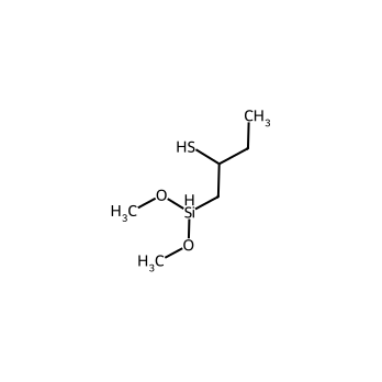 CCC(S)C[SiH](OC)OC